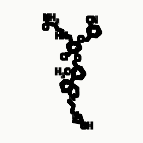 Cc1c(COc2cc(OCc3cccc(C#N)c3)c(CNCCCC(N)=O)cc2Cl)cccc1-c1cccc2c1CCN2CCCN1CC(O)C1